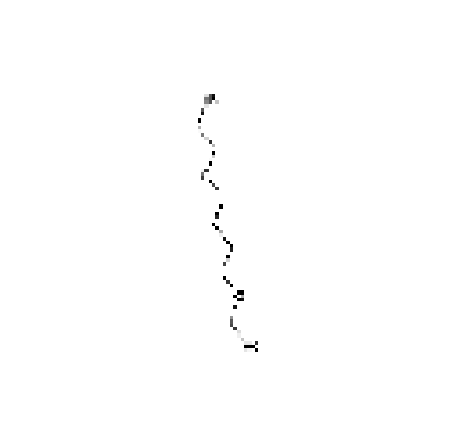 CC(=O)COCCCCOCCC(C)(C)C